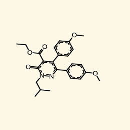 CCOC(=O)c1c(-c2ccc(OC)cc2)c(-c2ccc(OC)cc2)nn(CC(C)C)c1=O